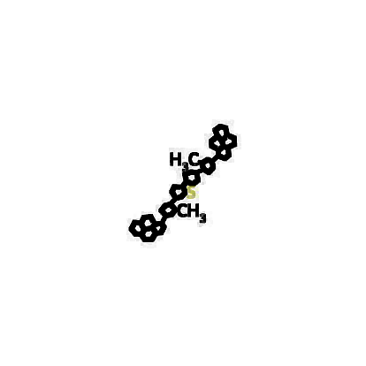 Cc1cc(-c2ccc3ccc4cccc5ccc2c3c45)ccc1-c1ccc2c(c1)sc1cc(-c3ccc(-c4ccc5ccc6cccc7ccc4c5c67)cc3C)ccc12